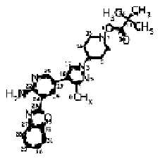 Cc1nn(C2CCN(OC(=O)C(C)(C)C)CC2)cc1-c1cnc(N)c(-c2nc3ccccc3o2)c1